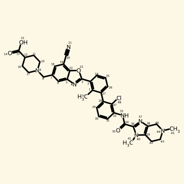 Cc1c(-c2nc3cc(CN4CCC(C(=O)O)CC4)cc(C#N)c3o2)cccc1-c1cccc(NC(=O)c2nc3c(n2C)CCN(C)C3)c1Cl